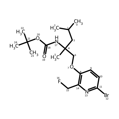 CC(C)CC(C)(COc1ccc(Br)nc1CF)NC(=O)OC(C)(C)C